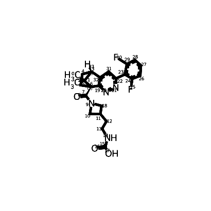 CC1(C)[C@@H]2CC[C@@]1(C(=O)N1CC(CCNC(=O)O)C1)c1nnc(-c3c(F)cccc3F)cc12